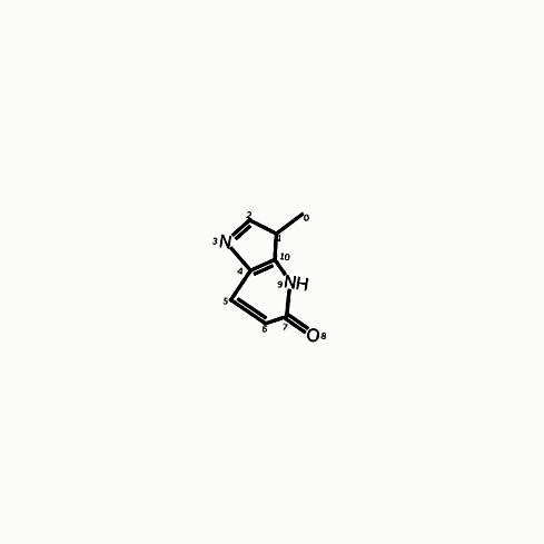 CC1C=Nc2ccc(=O)[nH]c21